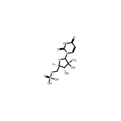 C[C@]1(O)C(n2ccc(=O)[nH]c2=O)O[C@](F)(COP(=O)(O)O)[C@H]1O